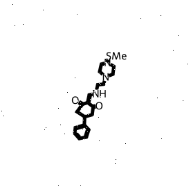 CSN1CCN(CCNC=C2C(=O)CC(c3ccccc3)CC2=O)CC1